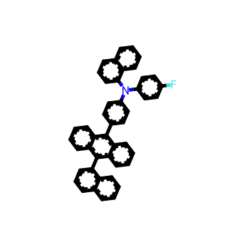 Fc1ccc(N(c2ccc(-c3c4ccccc4c(-c4cccc5ccccc45)c4ccccc34)cc2)c2cccc3ccccc23)cc1